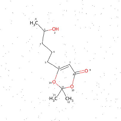 CC(O)CCCC1=CC(=O)OC(C)(C)O1